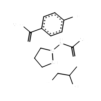 CC(O)CO.COC(=O)c1ccc(O)cc1.NC(=O)NN1CCCN1